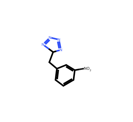 O=[N+]([O-])c1cccc(CC2N=NN=N2)c1